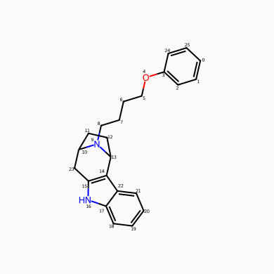 c1ccc(OCCCCN2C3CCC2c2c([nH]c4ccccc24)C3)cc1